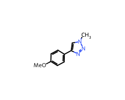 COc1ccc(-c2cn(C)nn2)cc1